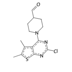 Cc1sc2nc(Cl)nc(N3CCC(C=O)CC3)c2c1C